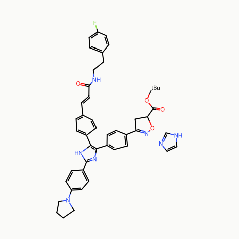 CC(C)(C)OC(=O)C1CC(c2ccc(-c3nc(-c4ccc(N5CCCC5)cc4)[nH]c3-c3ccc(C=CC(=O)NCCc4ccc(F)cc4)cc3)cc2)=NO1.c1c[nH]cn1